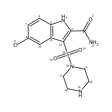 NC(=O)c1[nH]c2ccc(Cl)cc2c1S(=O)(=O)N1CCNCC1